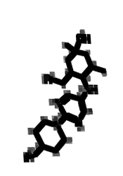 CC(C)CC1CC(C)(O)CC(C)C1Nc1cnc(N2CCC(C(C)C)CC2)nc1